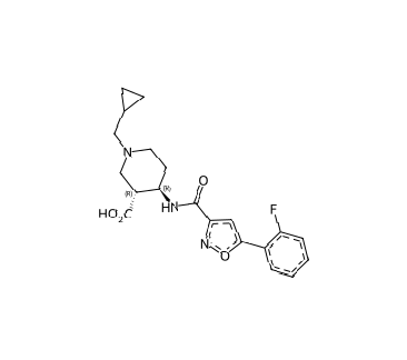 O=C(N[C@@H]1CCN(CC2CC2)C[C@H]1C(=O)O)c1cc(-c2ccccc2F)on1